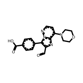 O=Cc1nc2c(N3CCOCC3)ccnn2c1-c1ccc(C(=O)O)cc1